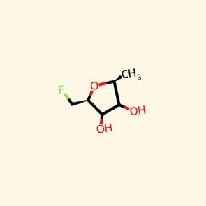 C[C@@H]1O[C@H](CF)C(O)C1O